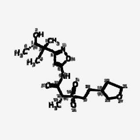 C[C@H](O)C(C)(C)c1cc(NC(=O)[C@@H](C)S(=O)(=O)CC[C@H]2CCOC2)on1